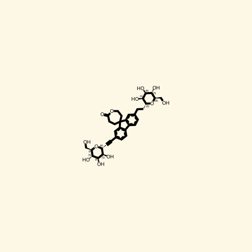 O=C1CCC2(CCO1)c1cc(C#C[C@H]3O[C@H](CO)[C@@H](O)[C@H](O)[C@@H]3O)ccc1-c1ccc(CC[C@H]3O[C@H](CO)[C@@H](O)[C@H](O)[C@@H]3O)cc12